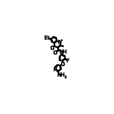 CCc1ccc2c(c1)c(=O)c(C(=O)Nc1ccc(Oc3ccnc(N)c3)c(F)c1)c(C)n2C